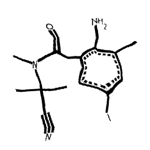 Cc1cc(I)cc(C(=O)N(C)C(C)(C)C#N)c1N